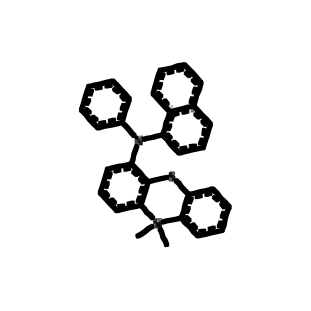 C[Si]1(C)c2ccccc2Sc2c(N(c3ccccc3)c3cccc4ccccc34)cccc21